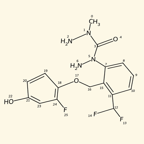 CN(N)C(=O)N(N)c1cccc(C(F)F)c1COc1ccc(O)cc1F